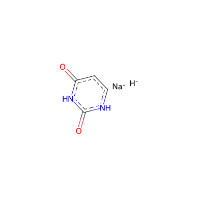 O=c1cc[nH]c(=O)[nH]1.[H-].[Na+]